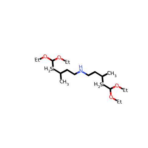 CCOC(OCC)[SiH2]C(C)CCNCCC(C)[SiH2]C(OCC)OCC